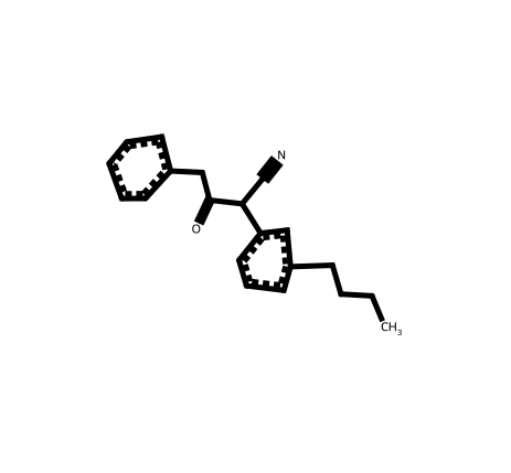 CCCCc1cccc(C(C#N)C(=O)Cc2ccccc2)c1